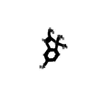 CC1=Nc2cc(C)ccc2[Si]1(C)C